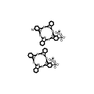 O=S(=O)([O-])c1ccc2c3nc4nc(nc5[nH]c(nc6nc(nc([nH]3)c2c1S(=O)(=O)Cl)-c1ccccc1-6)c1ccccc51)-c1ccccc1-4.O=S(=O)([O-])c1ccc2c3nc4nc(nc5[nH]c(nc6nc(nc([nH]3)c2c1S(=O)(=O)Cl)-c1ccccc1-6)c1ccccc51)-c1ccccc1-4.[Ni+2]